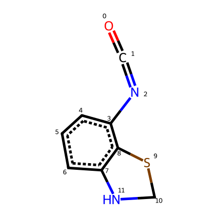 O=C=Nc1cccc2c1SCN2